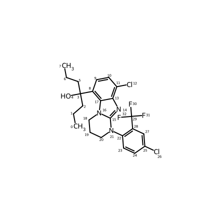 CCCC(O)(CCC)c1ccc(Cl)c2nc3n(c12)CCCN3c1ccc(Cl)cc1C(F)(F)F